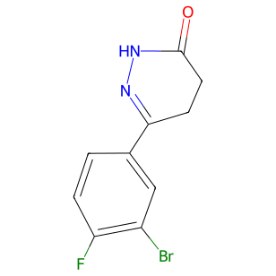 O=C1CCC(c2ccc(F)c(Br)c2)=NN1